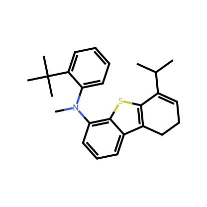 CC(C)C1=CCCc2c1sc1c(N(C)c3ccccc3C(C)(C)C)cccc21